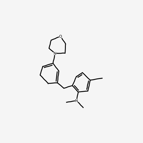 Cc1ccc(CC2=CC(N3CCOCC3)=CC[CH]2)c(N(C)C)c1